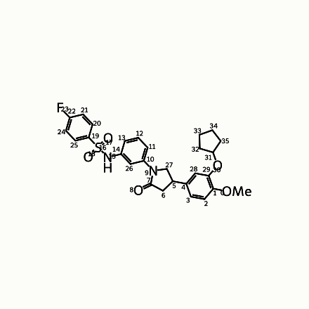 COc1ccc(C2CC(=O)N(c3cccc(NS(=O)(=O)c4ccc(F)cc4)c3)C2)cc1OC1CCCC1